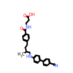 CC(CCc1ccc(C(=O)NCCC(=O)O)cc1)CNc1ccc(-c2ccc(C#N)cc2)cc1